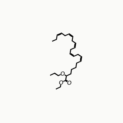 CC/C=C\C/C=C\C/C=C\C/C=C\C/C=C\CCCCC(OCCC)C(=O)OCC